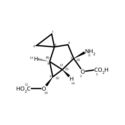 N[C@]1(OC(=O)O)CC2(CC2)[C@@H]2[C@H](OC(=O)O)[C@H]21